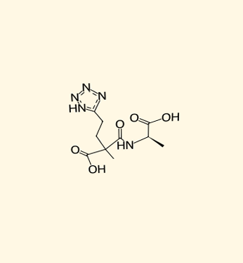 C[C@@H](NC(=O)C(C)(CCc1nnn[nH]1)C(=O)O)C(=O)O